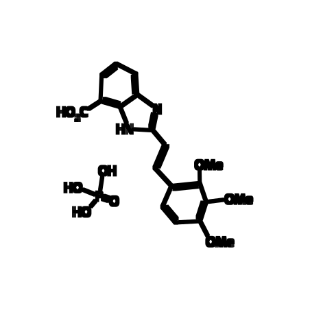 COc1ccc(C=Cc2nc3cccc(C(=O)O)c3[nH]2)c(OC)c1OC.O=P(O)(O)O